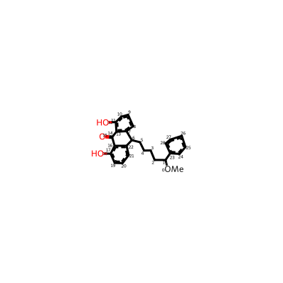 COC(CCCCC1c2cccc(O)c2C(=O)c2c(O)cccc21)c1ccccc1